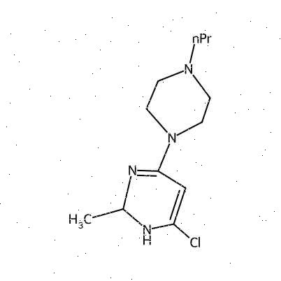 CCCN1CCN(C2=NC(C)NC(Cl)=C2)CC1